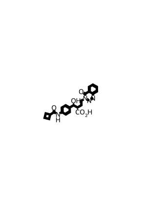 O=C(Nc1ccc([C@@H](O)[C@H](CCn2nnc3ccccc3c2=O)C(=O)O)cc1)C1CCC1